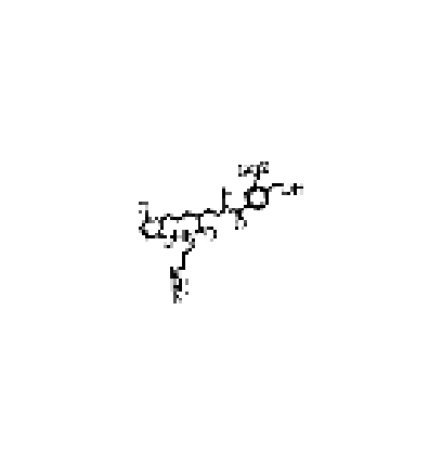 [N-]=[N+]=NCCCNC(=O)C(CCCN1C(=O)C=CC1=O)CCNC(=O)c1ccc(CO)c([N+](=O)[O-])c1